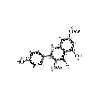 COc1cc(O)c2c(=O)c(OC)c(-c3ccc(O)cc3)oc2c1